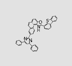 c1ccc(-c2cc(-c3ccccc3)nc(-c3ccc4c(ccc5ccc6c(c54)NC(c4cccc5c4sc4ccccc45)O6)c3)n2)cc1